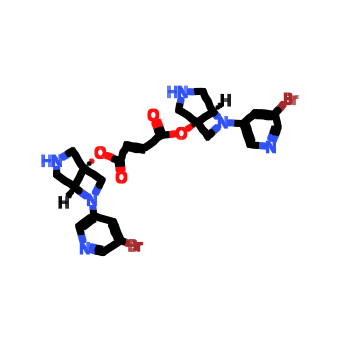 O=C(/C=C/C(=O)O[C@@]12CNC[C@H]1N(c1cncc(Br)c1)C2)O[C@@]12CNC[C@H]1N(c1cncc(Br)c1)C2